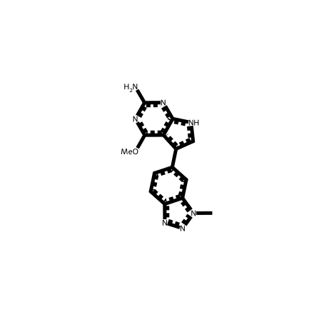 COc1nc(N)nc2[nH]cc(-c3ccc4nnn(C)c4c3)c12